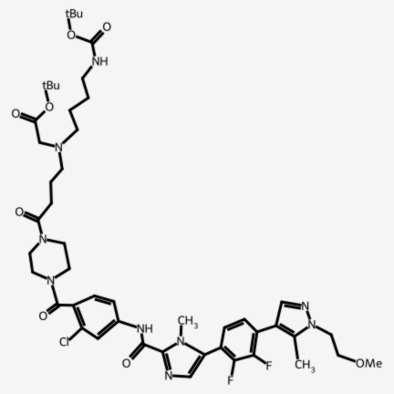 COCCn1ncc(-c2ccc(-c3cnc(C(=O)Nc4ccc(C(=O)N5CCN(C(=O)CCCN(CCCCNC(=O)OC(C)(C)C)CC(=O)OC(C)(C)C)CC5)c(Cl)c4)n3C)c(F)c2F)c1C